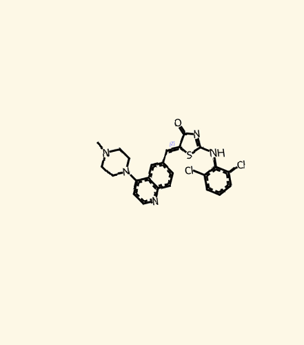 CN1CCN(c2ccnc3ccc(/C=C4\SC(Nc5c(Cl)cccc5Cl)=NC4=O)cc23)CC1